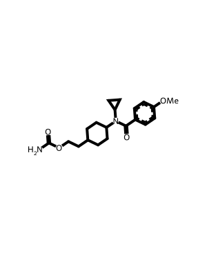 COc1ccc(C(=O)N(C2CCC(CCOC(N)=O)CC2)C2CC2)cc1